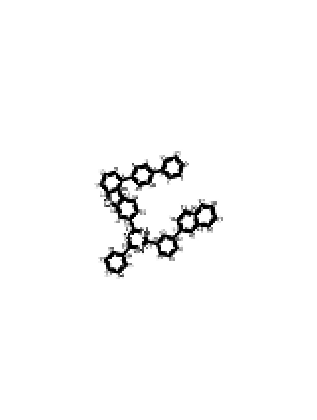 c1ccc(-c2ccc(-c3cccc4oc5cc(-c6nc(-c7ccccc7)nc(-c7cccc(-c8ccc9ccccc9c8)c7)n6)ccc5c34)cc2)cc1